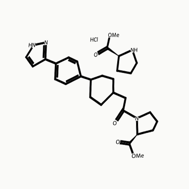 COC(=O)[C@@H]1CCCN1.COC(=O)[C@@H]1CCCN1C(=O)CC1CCC(c2ccc(-c3cc[nH]n3)cc2)CC1.Cl